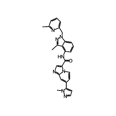 Cc1cccc(Cn2nc(C)c3c(NC(=O)c4cnc5cc(-c6ccnn6C)ccn45)cccc32)n1